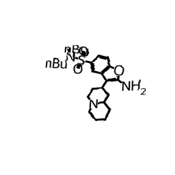 CCCCN(CCCC)S(=O)(=O)c1ccc2oc(N)c(C3CCN4CCCCC4C3)c2c1